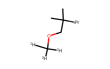 [2H]C([2H])([2H])OCC(C)(C)C(C)C